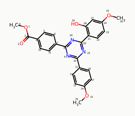 COC(=O)c1ccc(-c2nc(-c3ccc(OC)cc3)nc(-c3ccc(OC)cc3O)n2)cc1